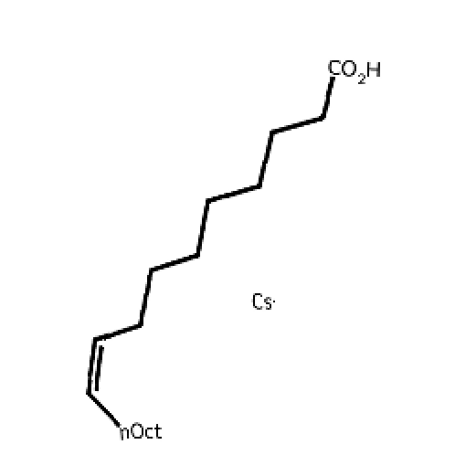 CCCCCCCC/C=C\CCCCCCCC(=O)O.[Cs]